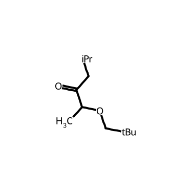 CC(C)CC(=O)C(C)OCC(C)(C)C